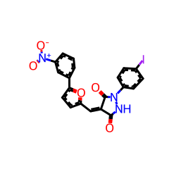 O=C1NN(c2ccc(I)cc2)C(=O)C1=Cc1ccc(-c2cccc([N+](=O)[O-])c2)o1